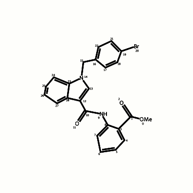 COC(=O)c1ccccc1NC(=O)c1cn(Cc2ccc(Br)cc2)c2ccccc12